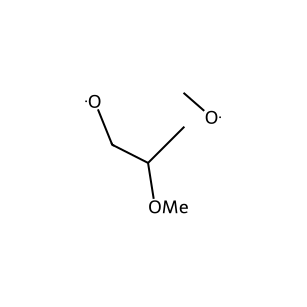 COC(C)C[O].C[O]